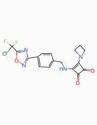 O=c1c(NCc2ccc(-c3noc(C(F)(F)Cl)n3)cc2)c(N2CCC2)c1=O